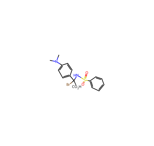 CN(C)c1ccc(C(Br)(NS(=O)(=O)c2ccccc2)C(=O)O)cc1